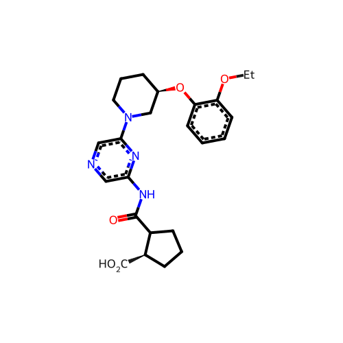 CCOc1ccccc1O[C@@H]1CCCN(c2cncc(NC(=O)C3CCC[C@H]3C(=O)O)n2)C1